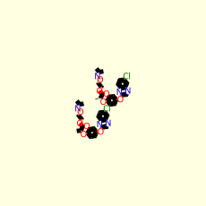 CC(C)=NOCCOC(=O)C(C)Oc1ccc(Oc2cnc3cc(Cl)ccc3n2)cc1.CC(C)=NOCCOC(=O)[C@@H](C)Oc1ccc(Oc2cnc3cc(Cl)ccc3n2)cc1